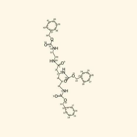 O=C(CC(CCCNC(=O)OCc1ccccc1)NC(=O)OCc1ccccc1)NCCNC(=O)OCc1ccccc1